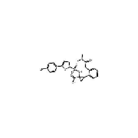 CN(C)C(=O)Cc1ccccc1C1CC1(NS(=O)(=O)C1CC=C(c2ccc(Cl)cc2)S1)C(=O)O